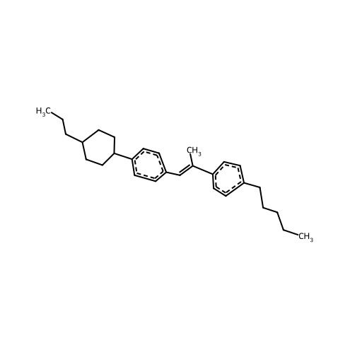 CCCCCc1ccc(C(C)=Cc2ccc(C3CCC(CCC)CC3)cc2)cc1